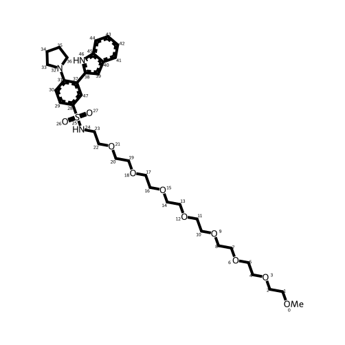 COCCOCCOCCOCCOCCOCCOCCOCCNS(=O)(=O)c1ccc(N2CCCC2)c(-c2cc3ccccc3[nH]2)c1